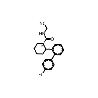 CCc1ccc(-c2ccccc2C2CCCC[C@H]2C(=O)NCC#N)cc1